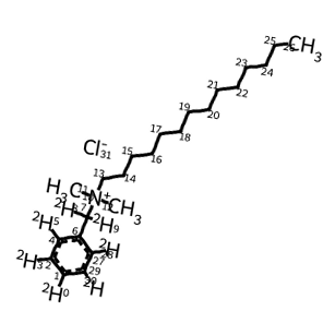 [2H]c1c([2H])c([2H])c(C([2H])([2H])[N+](C)(C)CCCCCCCCCCCCCC)c([2H])c1[2H].[Cl-]